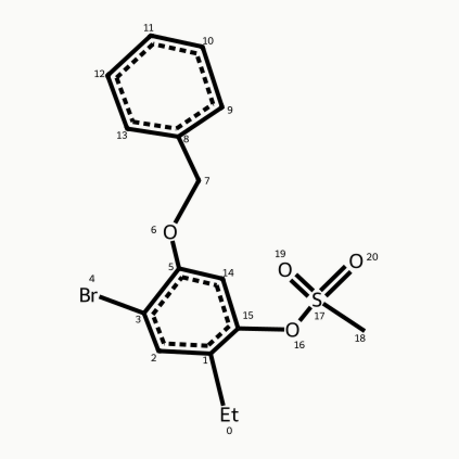 CCc1cc(Br)c(OCc2ccccc2)cc1OS(C)(=O)=O